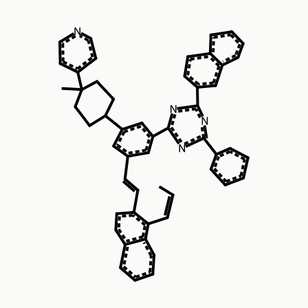 C/C=C\c1c(/C=C/c2cc(-c3nc(-c4ccccc4)nc(-c4ccc5ccccc5c4)n3)cc(C3CCC(C)(c4ccncc4)CC3)c2)ccc2ccccc12